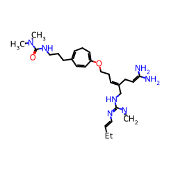 C=N/C(=N\C=CCC)NC/C(=C/CCOC1=CCC=C(CCCNC(=O)N(C)C)C=C1)CC=C(N)N